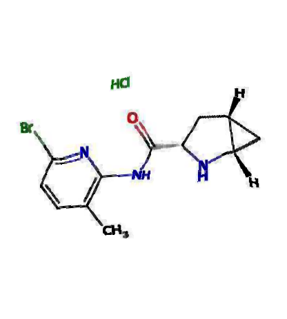 Cc1ccc(Br)nc1NC(=O)[C@@H]1C[C@@H]2C[C@@H]2N1.Cl